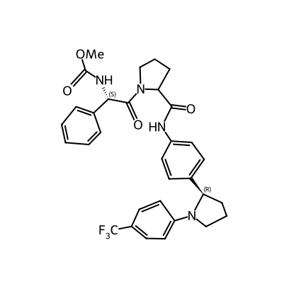 COC(=O)N[C@H](C(=O)N1CCCC1C(=O)Nc1ccc([C@H]2CCCN2c2ccc(C(F)(F)F)cc2)cc1)c1ccccc1